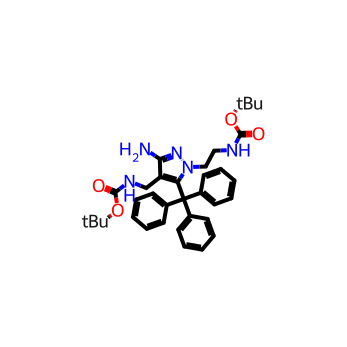 CC(C)(C)OC(=O)NCCn1nc(N)c(CNC(=O)OC(C)(C)C)c1C(c1ccccc1)(c1ccccc1)c1ccccc1